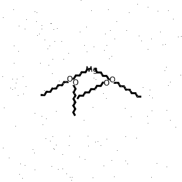 CCCCCCCCCCOC(CCCC[CH2][Mg][CH2]CCCCC(OCCCCCCCCCC)OCCCCCCCCCC)OCCCCCCCCCC